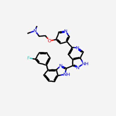 CN(C)CCOc1cncc(-c2cc3c(-c4nc5c(-c6cccc(F)c6)cccc5[nH]4)n[nH]c3cn2)c1